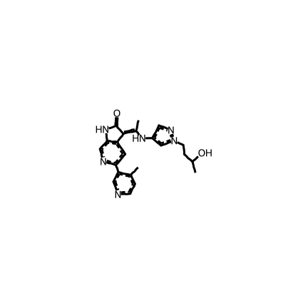 CC(Nc1cnn(CCC(C)O)c1)=C1C(=O)Nc2cnc(-c3cnccc3C)cc21